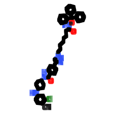 N#Cc1ccc(NC2CCC(NC(=O)c3ccc(-c4cn(CCCCCCCC(=O)NOC(c5ccccc5)(c5ccccc5)c5ccccc5)nn4)cc3)CC2)cc1Cl